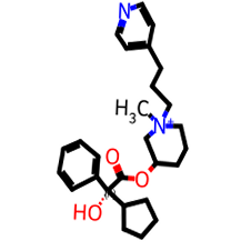 C[N+]1(CCCc2ccncc2)CCCC(OC(=O)[C@](O)(c2ccccc2)C2CCCC2)C1